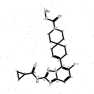 CC(C)(C)OC(=O)N1CCC2(CC=C(c3c(F)ccc4nc(NC(=O)C5CC5)nn34)CC2)CC1